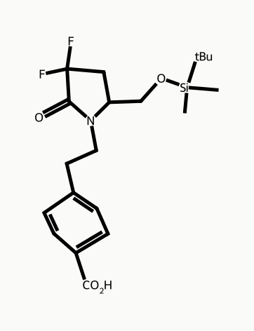 CC(C)(C)[Si](C)(C)OCC1CC(F)(F)C(=O)N1CCc1ccc(C(=O)O)cc1